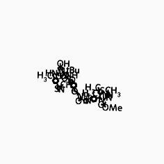 COC(=O)C[C@@H]1N=C(c2ccc(N3CC[C@@H](C(=O)NCCOc4ccc5oc(C(=O)N[C@H](C(=O)N6C[C@H](O)C[C@H]6C(=O)N[C@@H](C)c6ccc(-c7scnc7C)cc6)C(C)(C)C)cc5c4)C3)cc2)c2c(sc(C)c2C)-n2c(C)nnc21